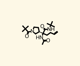 C=CCCC(NC(C)=O)(C(=O)NC(C)(C)C)[C@@H]1CCN(C(=O)C(C)(C)C)C1